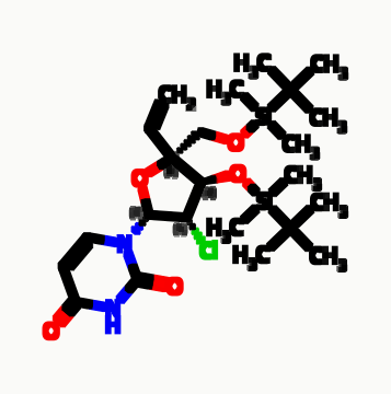 C=C[C@]1(CO[Si](C)(C)C(C)(C)C)O[C@@H](n2ccc(=O)[nH]c2=O)[C@@H](Cl)[C@@H]1O[Si](C)(C)C(C)(C)C